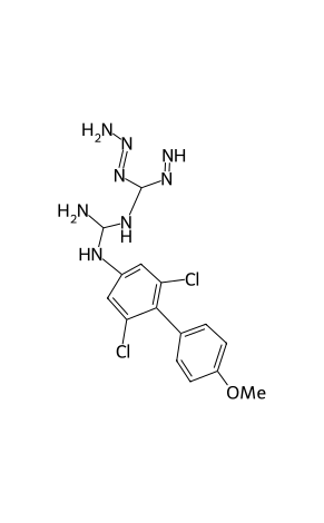 COc1ccc(-c2c(Cl)cc(NC(N)NC(N=N)N=NN)cc2Cl)cc1